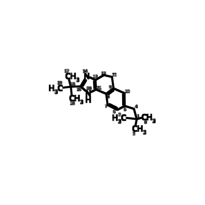 CC(C)(C)Cc1ccc2c(c1)CCc1nc(C(C)(C)C)[nH]c1-2